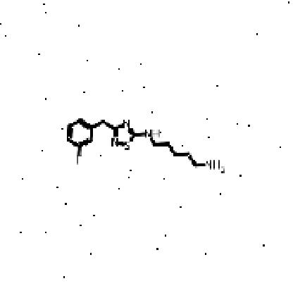 NCCCCCNc1nc(Cc2cccc(F)c2)ns1